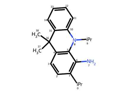 CC(C)c1ccc2c(c1N)N(C(C)C)c1ccccc1C2(C)C